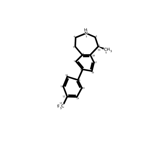 C[C@@H]1CNCCc2cc(-c3ccc(C(F)(F)F)cc3)ccc21